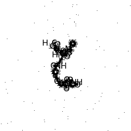 CS(=O)(=O)n1ccc(C(=O)N[C@@H](CCCCNC(=O)C2CCN(CCOc3ccc4c(c3)C(=O)N(C3CCC(=O)NC3=O)C4=O)CC2)C(=O)Nc2nc(-c3ccccc3)cs2)c1